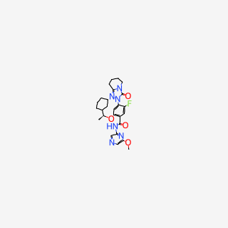 COc1cncc(NC(=O)c2cc(F)c(-n3nc4n(c3=O)CCCC4)cc2O[C@@H](C)C2CCCCC2)n1